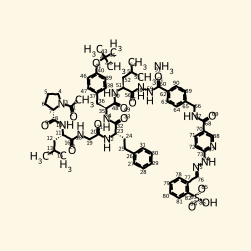 CC(=O)N1CCC[C@H]1C(=O)N[C@@H](CC(C)C)C(=O)NCC(=O)N[C@@H](CCc1ccccc1)C(=O)N[C@@H](Cc1ccc(OC(C)(C)C)cc1)C(=O)N[C@@H](CC(C)C)C(=O)NNC(=O)c1ccc(CNC(=O)c2ccc(NN=Cc3ccccc3S(=O)(=O)O)nc2)cc1.N